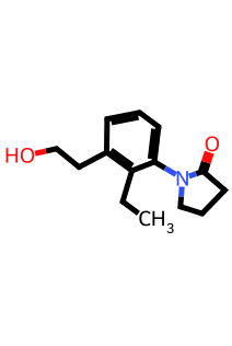 CCc1c(CCO)cccc1N1CCCC1=O